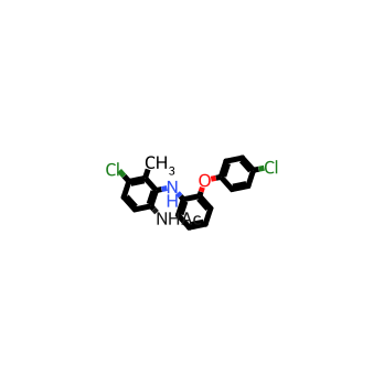 CC(=O)Nc1ccc(Cl)c(C)c1Nc1ccccc1Oc1ccc(Cl)cc1